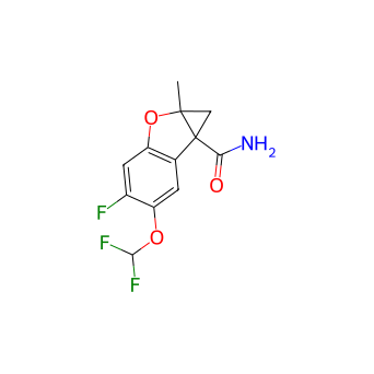 CC12CC1(C(N)=O)c1cc(OC(F)F)c(F)cc1O2